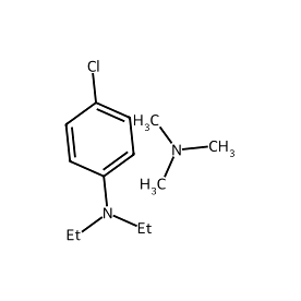 CCN(CC)c1ccc(Cl)cc1.CN(C)C